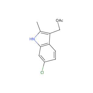 CC(=O)OCc1c(C)[nH]c2cc(Cl)ccc12